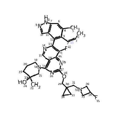 C/C=C\c1c(C)cc2[nH]ncc2c1-c1ncc2c(N3CCC[C@@](C)(O)C3)nc(OCC3(CN4CC(F)C4)CC3)nc2c1F